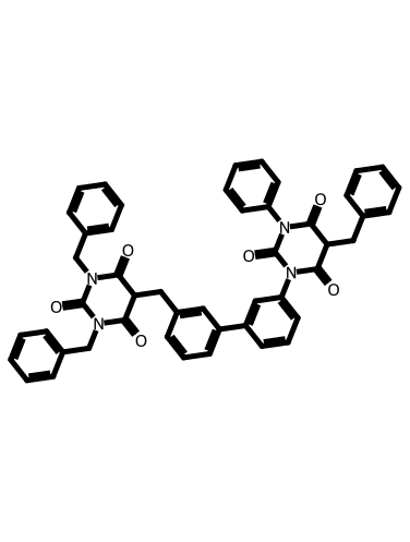 O=C1C(Cc2cccc(-c3cccc(N4C(=O)C(Cc5ccccc5)C(=O)N(c5ccccc5)C4=O)c3)c2)C(=O)N(Cc2ccccc2)C(=O)N1Cc1ccccc1